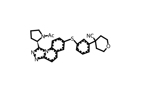 CC(=O)N1CCC[C@@H]1c1nnc2ccc3cc(Sc4cccc(C5(C#N)CCOCC5)c4)ccc3n12